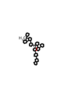 CC1(c2ccccc2)c2ccccc2-c2c(-c3cccc(N(c4ccc(-c5ccc(-c6ccc7ccccc7c6)cc5)cc4)c4ccccc4-c4ccccc4-c4ccccc4)c3)cccc21